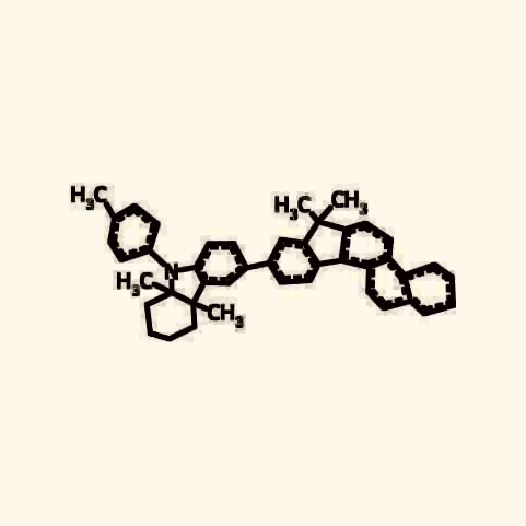 Cc1ccc(N2c3ccc(-c4ccc5c(c4)C(C)(C)c4ccc6c(ccc7ccccc76)c4-5)cc3C3(C)CCCCC23C)cc1